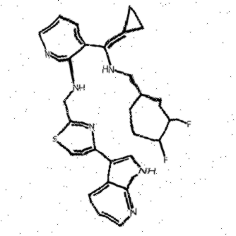 FC1CCC(CNC(=C2CC2)c2cccnc2NCc2nc(-c3c[nH]c4ncccc34)cs2)CC1F